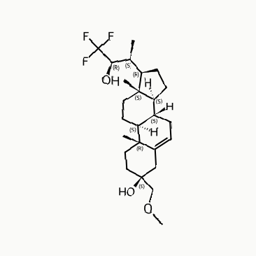 COC[C@]1(O)CC[C@@]2(C)C(=CC[C@H]3[C@@H]4CC[C@H]([C@H](C)[C@@H](O)C(F)(F)F)[C@@]4(C)CC[C@@H]32)C1